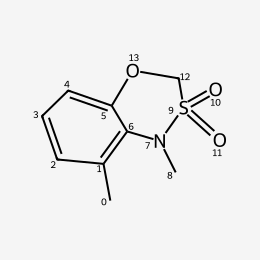 Cc1cccc2c1N(C)S(=O)(=O)CO2